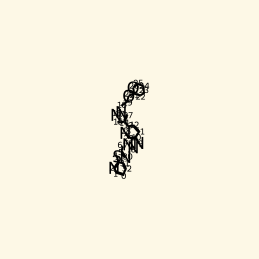 c1cnc2sc(Cn3nnc4ccc(-c5cnn(CCOC6CCCCO6)c5)nc43)nc2c1